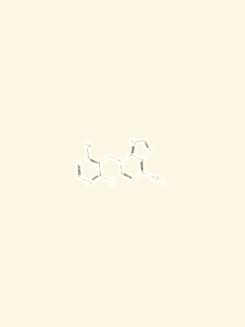 Nc1ncn(Cc2c(Br)ccnc2Cl)c2ncnc1-2